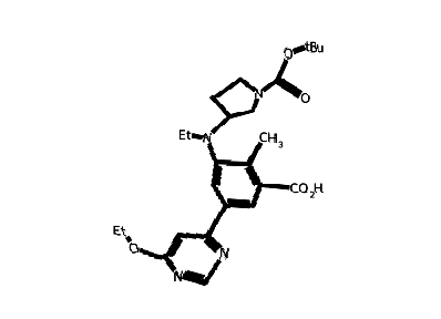 CCOc1cc(-c2cc(C(=O)O)c(C)c(N(CC)C3CCN(C(=O)OC(C)(C)C)C3)c2)ncn1